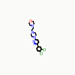 Clc1ccc(-c2ccc(N3CCN(CCN4CCOCC4)CC3)nn2)cc1Cl